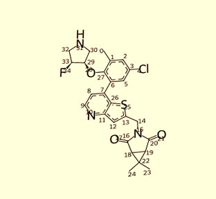 Cc1cc(Cl)cc(-c2ccnc3cc(CN4C(=O)C5C(C4=O)C5(C)C)sc23)c1O[C@@H]1CNC[C@@H]1F